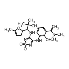 C=C(c1cccc(NC2=NS(=O)(=O)N=C2N[C@@H](C2CC=C(C)O2)C(C)(C)C)c1O)N(C)C